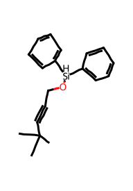 CC(C)(C)C#CCO[SiH](c1ccccc1)c1ccccc1